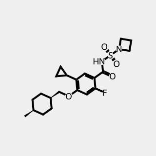 C[C@H]1CC[C@@H](COc2cc(F)c(C(=O)NS(=O)(=O)N3CCC3)cc2C2CC2)CC1